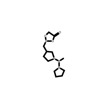 CB(N1CCCC1)N1CCC(CB2OCC(=O)O2)C1